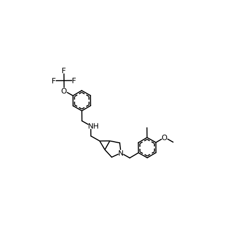 COc1ccc(CN2CC3C(CNCc4cccc(OC(F)(F)F)c4)C3C2)cc1C